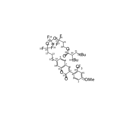 COc1ccc(-c2cc3ccc(SCCC(F)(F)OC(F)(F)OC(F)(F)CCOC(=O)C(CC(C)(C)C)C(C)(C)C)cc3oc2=O)c(C(F)(F)F)c1